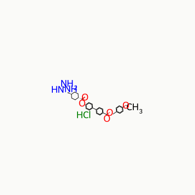 COc1ccc(COC(=O)c2ccc(-c3ccc(OC(=O)[C@H]4CC[C@H](CNC(=N)N)CC4)cc3)cc2)cc1.Cl